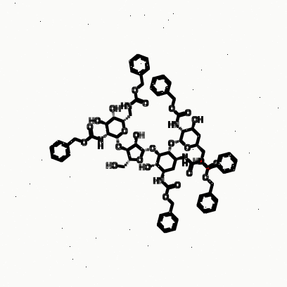 O=C(NC[C@@H]1C[C@H](O)[C@@H](NC(=O)OCc2ccccc2)[C@@H](O[C@H]2[C@H](O[C@@H]3O[C@H](CO)[C@@H](O[C@H]4O[C@@H](CNC(=O)OCc5ccccc5)[C@@H](O)[C@H](O)[C@H]4NC(=O)OCc4ccccc4)[C@H]3O)[C@@H](O)[C@H](NC(=O)OCc3ccccc3)C[C@@H]2NC(=O)OCc2ccccc2)O1)OCc1ccccc1